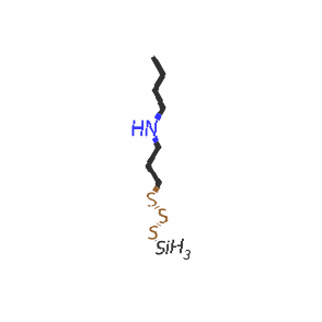 CCCCNCCCSSS[SiH3]